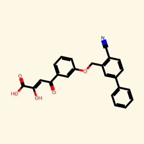 N#Cc1ccc(-c2ccccc2)cc1COc1cccc(C(=O)C=C(O)C(=O)O)c1